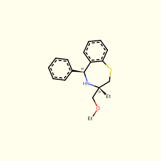 CCOC[C@@]1(CC)CSc2ccccc2[C@H](c2ccccc2)N1